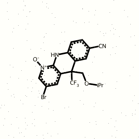 CC(C)OCC1(C(F)(F)F)c2cc(C#N)ccc2Nc2c1cc(Br)c[n+]2[O-]